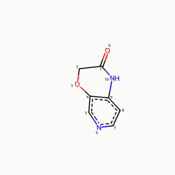 O=C1COc2cn[c]cc2N1